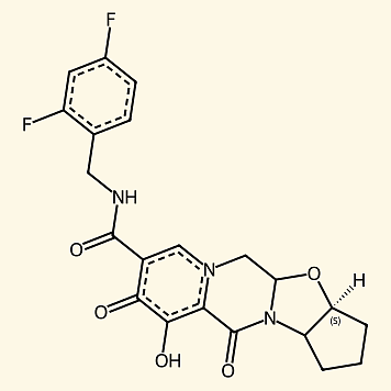 O=C(NCc1ccc(F)cc1F)c1cn2c(c(O)c1=O)C(=O)N1C(C2)O[C@H]2CCCC21